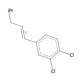 CC(C)C/C=C/c1ccc(Cl)c(Cl)c1